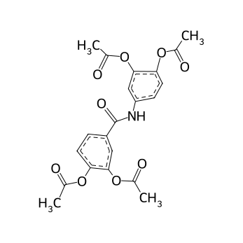 CC(=O)Oc1ccc(NC(=O)c2ccc(OC(C)=O)c(OC(C)=O)c2)cc1OC(C)=O